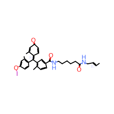 C/C=C/CNC(=O)CCCCCNC(=O)c1ccc(C)c(/C(=C2\C=CC(=O)C=C2C)c2ccc(OI)cc2C)c1